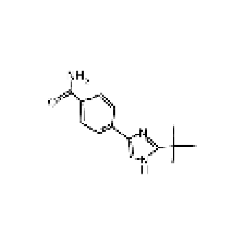 CC(C)(C)c1nc(-c2ccc(C(N)=O)cc2)c[nH]1